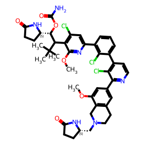 COc1cc(-c2nccc(-c3cccc(-c4cc(Cl)c(C(C(OC(N)=O)[C@@H]5CCC(=O)N5)C(C)(C)C)c(OC)n4)c3Cl)c2Cl)cc2c1CN(C[C@@H]1CCC(=O)N1)CC2